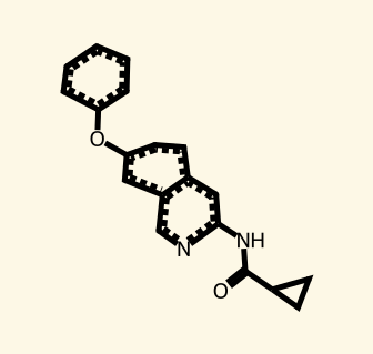 O=C(Nc1cc2ccc(Oc3ccccc3)cc2cn1)C1CC1